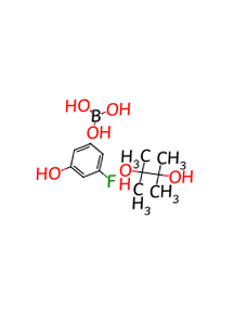 CC(C)(O)C(C)(C)O.OB(O)O.Oc1cccc(F)c1